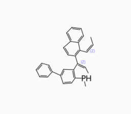 C/C=C\c1c(/C(=C/C)c2cc(-c3ccccc3)ccc2PC)ccc2ccccc12